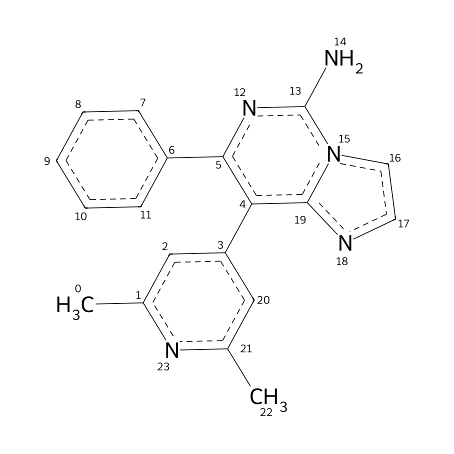 Cc1cc(-c2c(-c3ccccc3)nc(N)n3ccnc23)cc(C)n1